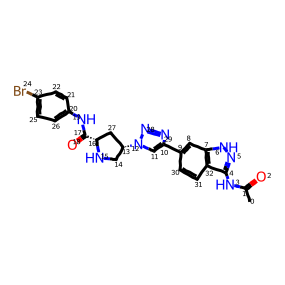 CC(=O)Nc1n[nH]c2cc(-c3cn([C@@H]4CN[C@H](C(=O)Nc5ccc(Br)cc5)C4)nn3)ccc12